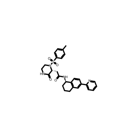 Cc1ccc(S(=O)(=O)N2CCNC(=O)[C@H]2CC(=O)N[C@@H]2CCCc3cc(-c4ccccn4)ccc32)cc1